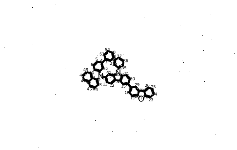 c1ccc(-c2cccc(N(c3ccc4c5cc(-c6ccc7oc8ccccc8c7c6)ccc5n(-c5ccccc5)c4c3)c3cccc4ccccc34)c2)cc1